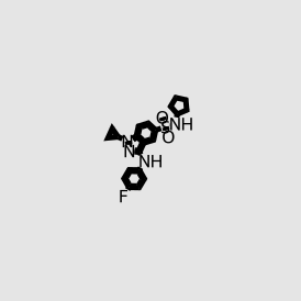 O=S(=O)(NC1CCCC1)c1ccc2c(c1)c(Nc1ccc(F)cc1)nn2C1CC1